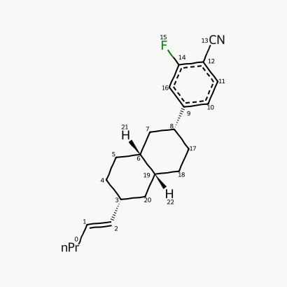 CCCC=C[C@@H]1CC[C@@H]2C[C@H](c3ccc(C#N)c(F)c3)CC[C@@H]2C1